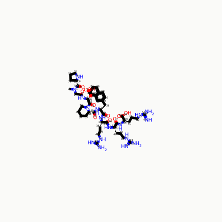 CN(CC(=O)N[C@H](CC(=O)O)C(=O)N1CCCC[C@H]1C(=O)N[C@@H](Cc1ccc2ccccc2c1)C(=O)N[C@@H](CCCNC(=N)N)C(=O)N[C@@H](CCCNC(=N)N)C(=O)N[C@H](CCCNC(=N)N)C(=O)O)C(=O)[C@@H]1CCCN1